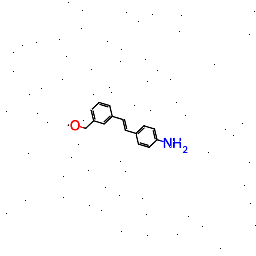 Nc1ccc(C=Cc2cccc(C[O])c2)cc1